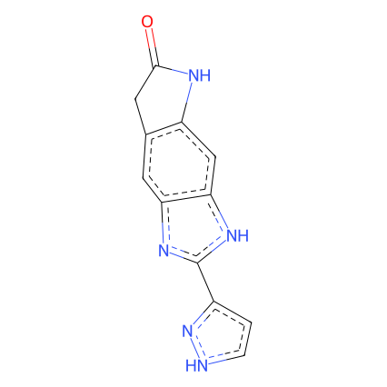 O=C1Cc2cc3nc(-c4cc[nH]n4)[nH]c3cc2N1